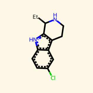 CCC1NCCc2c1[nH]c1ccc(Cl)cc21